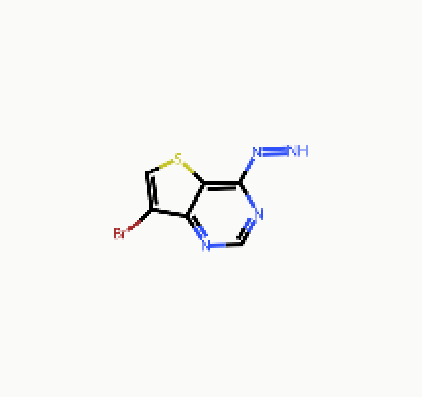 N=Nc1ncnc2c(Br)csc12